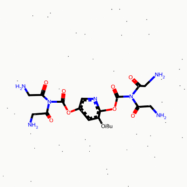 CC(C)COc1cc(OC(=O)N(C(=O)CN)C(=O)CN)cnc1OC(=O)N(C(=O)CN)C(=O)CN